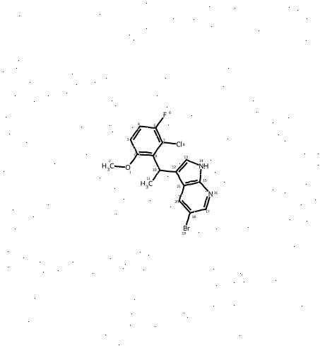 COc1ccc(F)c(Cl)c1C(C)c1c[nH]c2ncc(Br)cc12